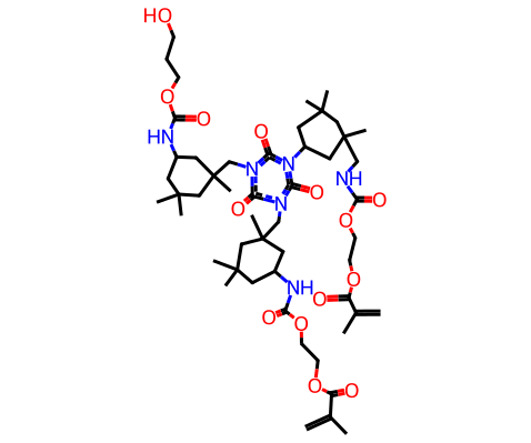 C=C(C)C(=O)OCCOC(=O)NCC1(C)CC(n2c(=O)n(CC3(C)CC(NC(=O)OCCCO)CC(C)(C)C3)c(=O)n(CC3(C)CC(NC(=O)OCCOC(=O)C(=C)C)CC(C)(C)C3)c2=O)CC(C)(C)C1